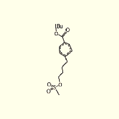 CC(C)(C)OC(=O)c1ccc(CCCCOS(C)(=O)=O)cc1